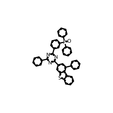 O=P(c1ccccc1)(c1ccccc1)c1cccc(-c2nc(-c3ccccc3)nc(-c3cc(-c4ccccc4)c4c(c3)sc3ccccc34)n2)c1